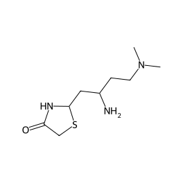 CN(C)CCC(N)CC1NC(=O)CS1